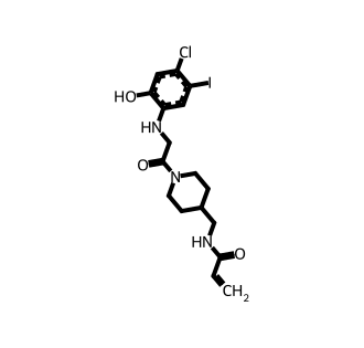 C=CC(=O)NCC1CCN(C(=O)CNc2cc(I)c(Cl)cc2O)CC1